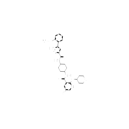 COc1ccccc1-c1cc(C(=O)NC2CCC(NC(=O)c3cc(F)cnc3OC3CCSCC3)CC2)n[nH]1